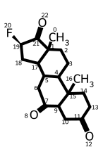 CC12CCC3C(CC(=O)C4CC(=O)CCC43C)C1C[C@@H](F)C2=O